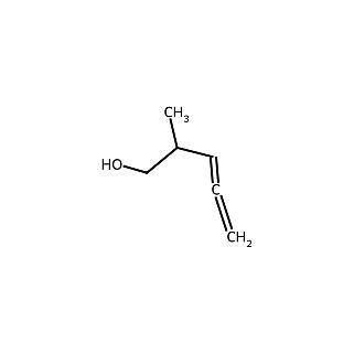 C=C=CC(C)CO